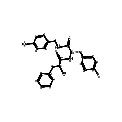 Nc1ccc(CNC(=O)[C@H](Cc2ccc(F)cc2)NC(=O)C(O)Cc2ccccc2)cn1